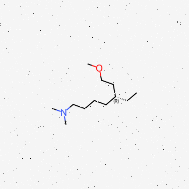 CC[C@H](CCCCN(C)C)CCOC